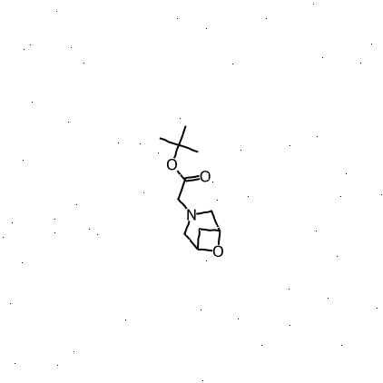 CC(C)(C)OC(=O)CN1CC2CC(C1)O2